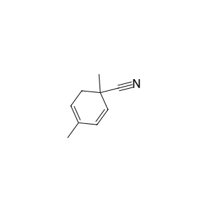 CC1=CCC(C)(C#N)C=C1